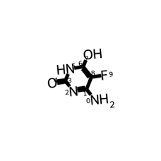 Nc1nc(=O)[nH]c(O)c1F